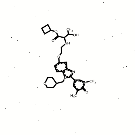 Cc1cc(-c2nc3cc(OCCNC(C(=O)OC4CCC4)C(C)O)ccc3n2CC2CCOCC2)cn(C)c1=O